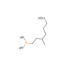 CCCCCCCCCCCC(C)CCP(CCC)CCC